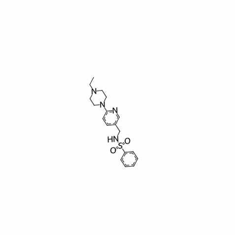 CCN1CCN(c2ccc(CNS(=O)(=O)c3ccccc3)cn2)CC1